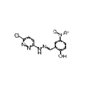 O=[N+]([O-])c1ccc(O)c(/C=N/Nc2ccc(Cl)nn2)c1